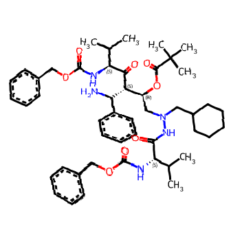 CC(C)[C@H](NC(=O)OCc1ccccc1)C(=O)NN(CC1CCCCC1)C[C@H](OC(=O)C(C)(C)C)[C@@H](C(=O)[C@@H](NC(=O)OCc1ccccc1)C(C)C)C(N)c1ccccc1